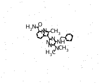 Cc1nn2c(C(N)=O)cccc2c1-c1nnc(N(C)C)c(NCc2ccccc2)n1